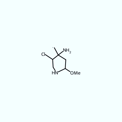 [CH2]C1(N)CC(OC)NCC1Cl